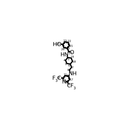 O=C(NC1CCC(CCNc2cc(C(F)(F)F)nc(C(F)(F)F)c2)CC1)c1cccc(O)c1